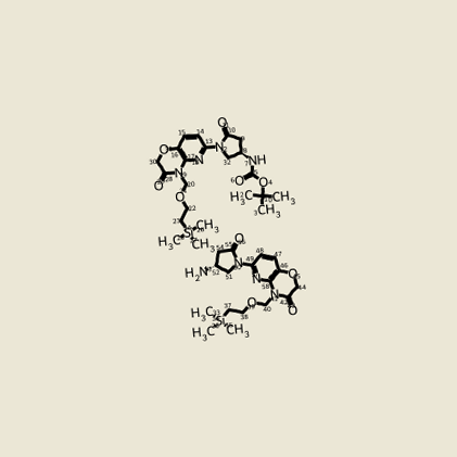 CC(C)(C)OC(=O)N[C@@H]1CC(=O)N(c2ccc3c(n2)N(COCC[Si](C)(C)C)C(=O)CO3)C1.C[Si](C)(C)CCOCN1C(=O)COc2ccc(N3C[C@H](N)CC3=O)nc21